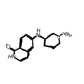 CCCCN1CCCC(Nc2ccc3c(=O)[nH]ccc3c2)C1